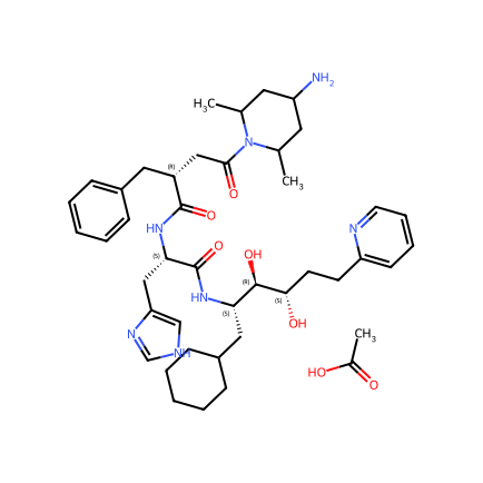 CC(=O)O.CC1CC(N)CC(C)N1C(=O)C[C@@H](Cc1ccccc1)C(=O)N[C@@H](Cc1c[nH]cn1)C(=O)N[C@@H](CC1CCCCC1)[C@@H](O)[C@@H](O)CCc1ccccn1